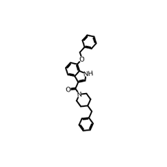 O=C(c1c[nH]c2c(OCc3ccccc3)cccc12)N1CCC(Cc2ccccc2)CC1